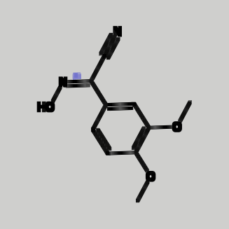 COc1ccc(/C(C#N)=N\O)cc1OC